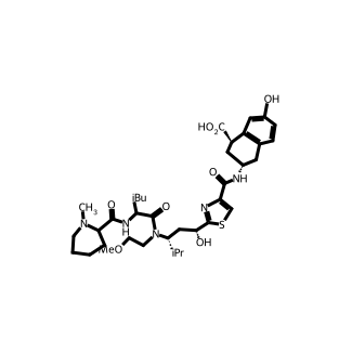 CCC(C)C(NC(=O)C1CCCCN1C)C(=O)N(CCOC)[C@H](C[C@@H](O)c1nc(C(=O)N[C@H]2Cc3ccc(O)cc3[C@H](C(=O)O)C2)cs1)C(C)C